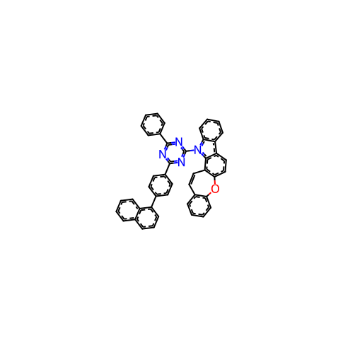 C1=Cc2c(ccc3c4ccccc4n(-c4nc(-c5ccccc5)nc(-c5ccc(-c6cccc7ccccc67)cc5)n4)c23)Oc2ccccc21